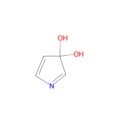 OC1(O)C=CN=C1